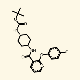 CC(C)(C)OC(=O)N[C@H]1CC[C@@H](NC(=O)c2cccnc2Oc2ccc(F)cc2)CC1